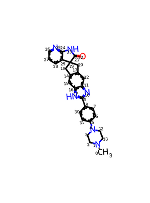 CN1CCN(c2ccc(-c3nc4cc5c(cc4[nH]3)CC3(C5)C(=O)Nc4ncccc43)cc2)CC1